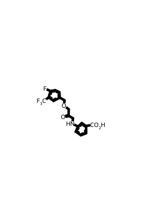 O=C(CNc1cccc(C(=O)O)c1)COCc1ccc(F)c(C(F)(F)F)c1